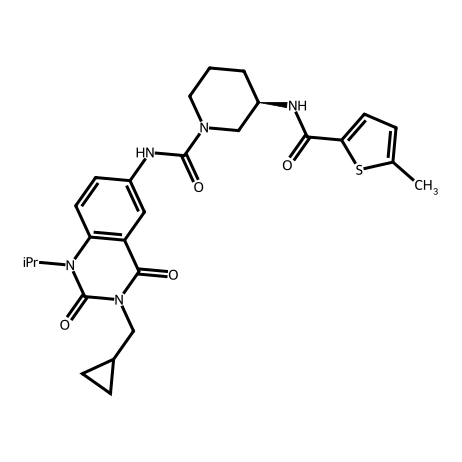 Cc1ccc(C(=O)N[C@@H]2CCCN(C(=O)Nc3ccc4c(c3)c(=O)n(CC3CC3)c(=O)n4C(C)C)C2)s1